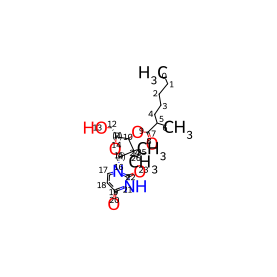 CCCCCC(C)C(=O)OC1[C@@H](CO)O[C@@H](n2ccc(=O)[nH]c2=O)C1(C)C